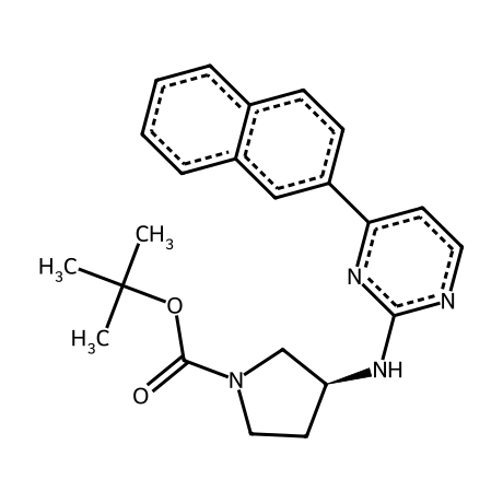 CC(C)(C)OC(=O)N1CC[C@H](Nc2nccc(-c3ccc4ccccc4c3)n2)C1